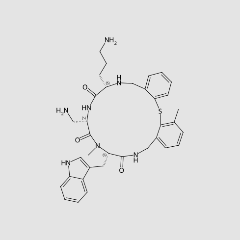 Cc1cccc2c1Sc1ccccc1CN[C@@H](CCCN)C(=O)N[C@@H](CN)C(=O)N(C)[C@@H](Cc1c[nH]c3ccccc13)C(=O)NC2